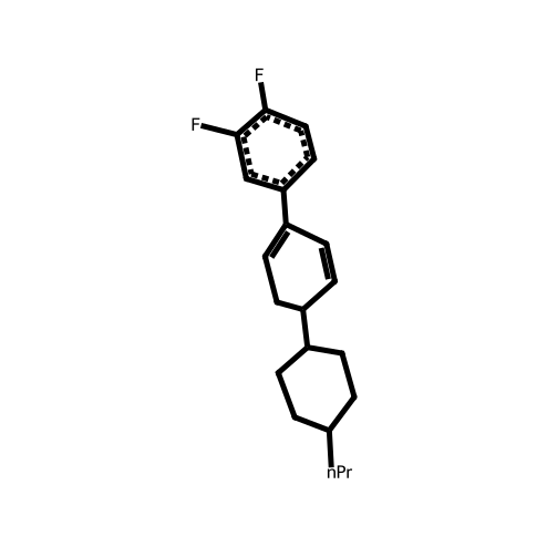 CCCC1CCC(C2C=CC(c3ccc(F)c(F)c3)=CC2)CC1